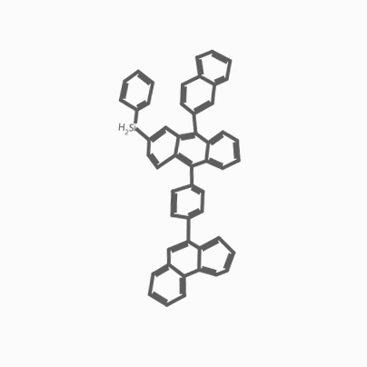 c1ccc([SiH2]c2ccc3c(-c4ccc(-c5cc6ccccc6c6ccccc56)cc4)c4ccccc4c(-c4ccc5ccccc5c4)c3c2)cc1